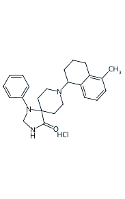 Cc1cccc2c1CCCC2N1CCC2(CC1)C(=O)NCN2c1ccccc1.Cl